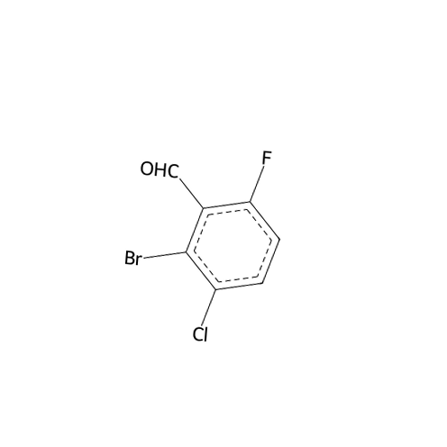 O=Cc1c(F)ccc(Cl)c1Br